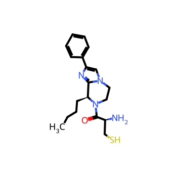 CCCC[C@H]1c2nc(-c3ccccc3)cn2CCN1C(=O)[C@@H](N)CS